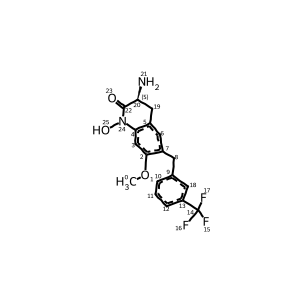 COc1cc2c(cc1Cc1cccc(C(F)(F)F)c1)C[C@H](N)C(=O)N2O